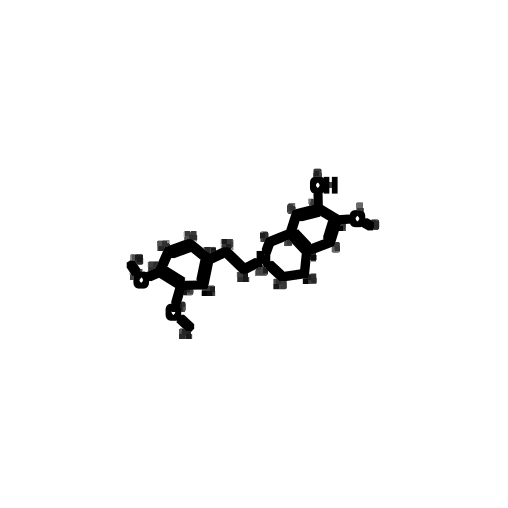 COc1cc2c(cc1O)CN(CCc1ccc(OC)c(OC)c1)CC2